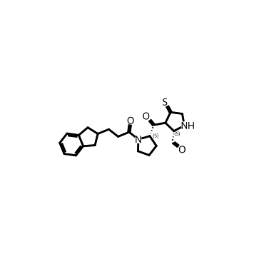 O=C[C@H]1NCC(=S)C1C(=O)[C@@H]1CCCN1C(=O)CCC1Cc2ccccc2C1